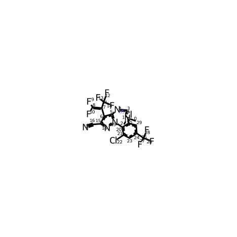 CN(C)/C=N\c1c(C(=C(F)F)C(F)(F)F)c(C#N)nn1-c1c(Cl)cc(C(F)(F)F)cc1Cl